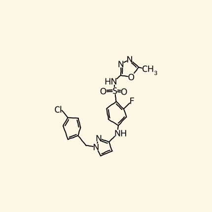 Cc1nnc(NS(=O)(=O)c2ccc(Nc3ccn(Cc4ccc(Cl)cc4)n3)cc2F)o1